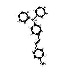 Oc1ccc(/C=C/c2ccc(N(c3ccccc3)c3ccccc3)cc2)cc1